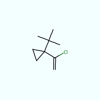 C=C(Cl)C1(C(C)(C)C)CC1